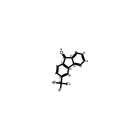 O=C1c2ccc(C(F)(F)F)[c]c2-c2ccccc21